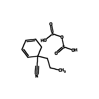 CCCC1(C#N)C=CC=CC1.O=S(O)OS(=O)O